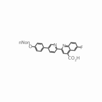 CCCCCCCCCOc1ccc(-c2ccc(-c3cc(C(=O)O)c4cc(F)ccc4n3)nc2)cc1